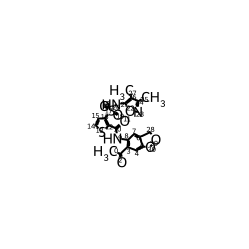 CC(=O)c1cc2c(cc1NC(=O)c1sccc1S(=O)(=O)Nc1onc(C)c1C)COO2